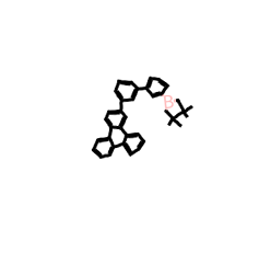 CC1(C)CB(c2cccc(-c3cccc(-c4ccc5c6ccccc6c6ccccc6c5c4)c3)c2)CC1(C)C